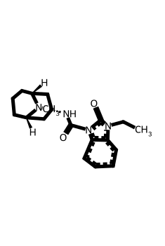 CCn1c(=O)n(C(=O)N[C@H]2C[C@H]3CCC[C@@H](C2)N3C)c2ccccc21